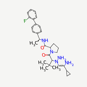 C[C@H](NC(=O)C1CCCN1C(=O)C(N(N)/C=C(\N)C1CC1)C(C)(C)C)c1ccc(-c2ccccc2F)cc1